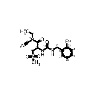 CCN(C#N)C(=O)C(CS(C)(=O)=O)NC(=O)NCc1ccccc1F